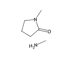 CN.CN1CCCC1=O